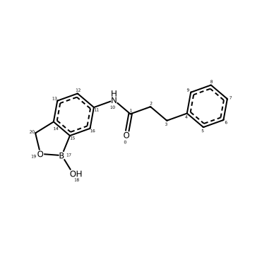 O=C(CCc1ccccc1)Nc1ccc2c(c1)B(O)OC2